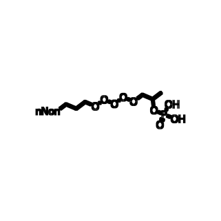 CCCCCCCCCCCCOOOOOCC(C)OP(=O)(O)O